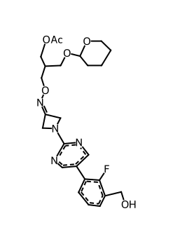 CC(=O)OCC(CON=C1CN(c2ncc(-c3cccc(CO)c3F)cn2)C1)COC1CCCCO1